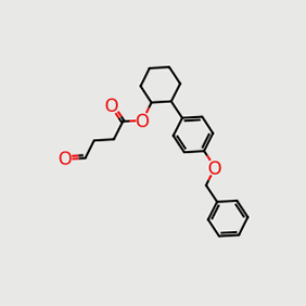 O=CCCC(=O)OC1CCCCC1c1ccc(OCc2ccccc2)cc1